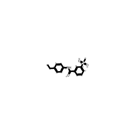 CCc1ccc(NC(=O)c2cccc(S(C)(=O)=O)c2)cc1